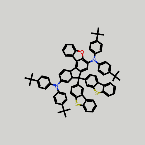 CC(C)(C)c1ccc(N(C2=CC3C(C=C2)c2c(cc(N(c4ccc(C(C)(C)C)cc4)c4ccc(C(C)(C)C)cc4)c4oc5ccccc5c24)C3(c2ccc3c(c2)sc2ccccc23)c2ccc3sc4ccccc4c3c2)c2ccc(C(C)(C)C)cc2)cc1